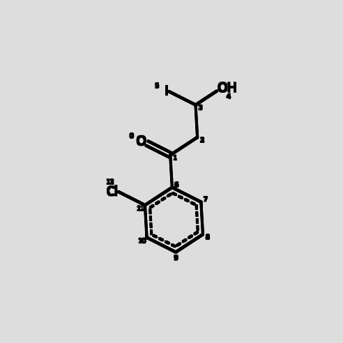 O=C(CC(O)I)c1ccccc1Cl